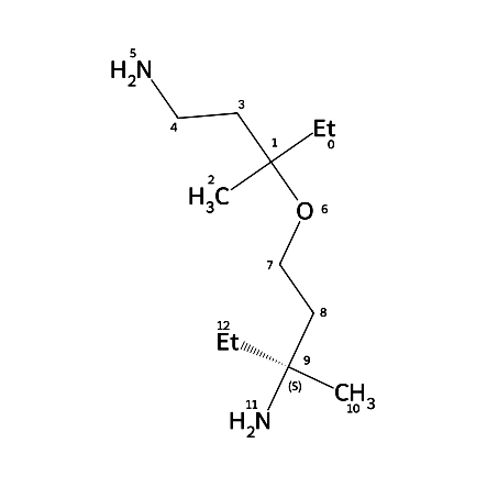 CCC(C)(CCN)OCC[C@@](C)(N)CC